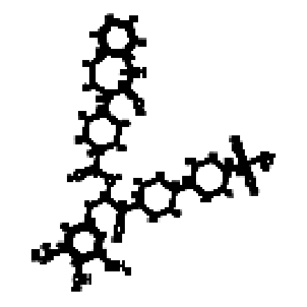 Bc1cc(C[C@@H](OC(=O)N2CCC(N3CCc4ccccc4NC3=O)CC2)C(=O)N2CCC(C3CCN(S(=O)(=O)C(C)C)CC3)CC2)cc(B)c1O